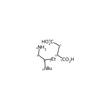 CCCCC(CC)CN.O=C(O)CCC(=O)O